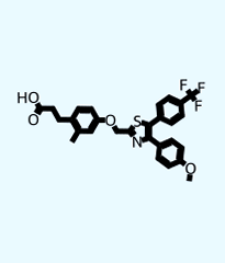 COc1ccc(-c2nc(COc3ccc(CCC(=O)O)c(C)c3)sc2-c2ccc(C(F)(F)F)cc2)cc1